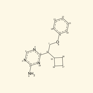 Nc1ncnc(C(COc2ccccc2)C2CCC2)n1